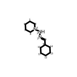 C(=NNN1CCCCC1)C1CCCCC1